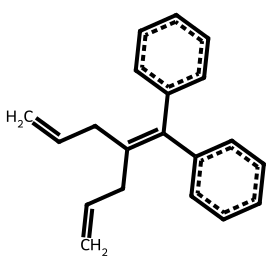 C=CCC(CC=C)=C(c1ccccc1)c1ccccc1